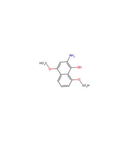 Nc1cc(OS(=O)(=O)O)c2cccc(OS(=O)(=O)O)c2c1O